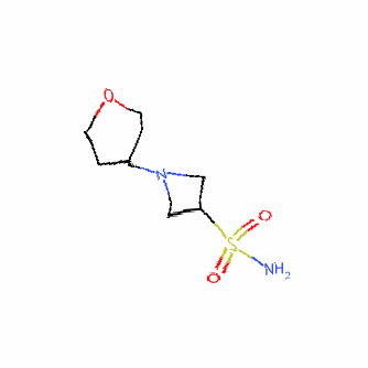 NS(=O)(=O)C1CN(C2CCOC2)C1